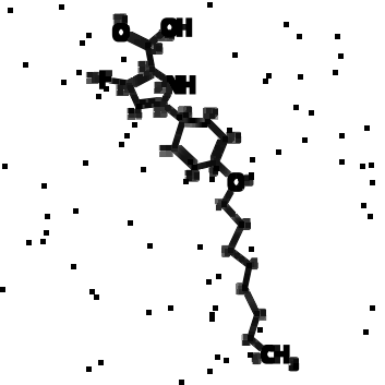 CCCCCCCCOc1ccc(-c2cc(F)c(C(=O)O)[nH]2)cc1